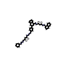 O=C(/C=C/C=C/c1ccccc1)CC(=O)/C=C/C=C/c1ccc(-c2cc(/C=C/C(=O)CC(=O)/C=C/c3cccc4ccccc34)c3ccccc3c2)cc1